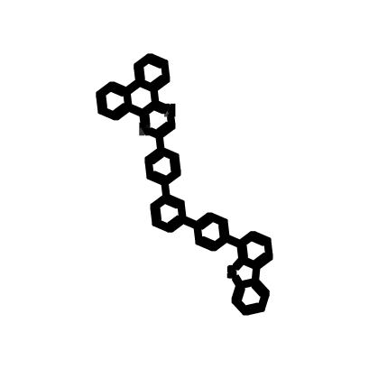 c1cc(-c2ccc(-c3cnc4c5ccccc5c5ccccc5c4n3)cc2)cc(-c2ccc(-c3cccc4c3sc3ccccc34)cc2)c1